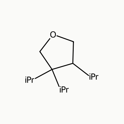 CC(C)C1COCC1(C(C)C)C(C)C